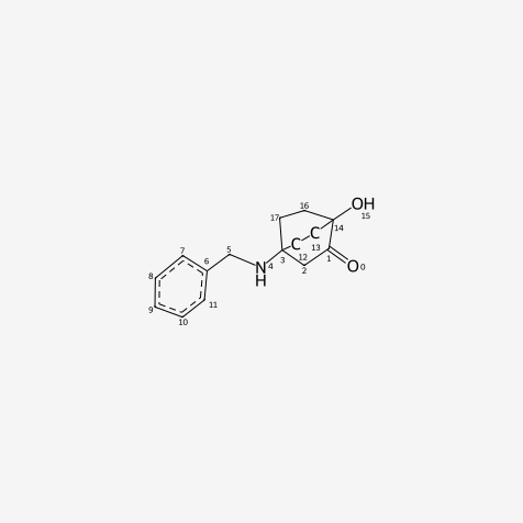 O=C1CC2(NCc3ccccc3)CCC1(O)CC2